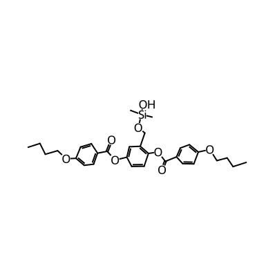 CCCCOc1ccc(C(=O)Oc2ccc(OC(=O)c3ccc(OCCCC)cc3)c(CO[Si](C)(C)O)c2)cc1